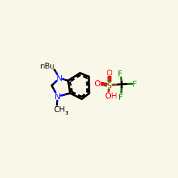 CCCCN1CN(C)c2ccccc21.O=S(=O)(O)C(F)(F)F